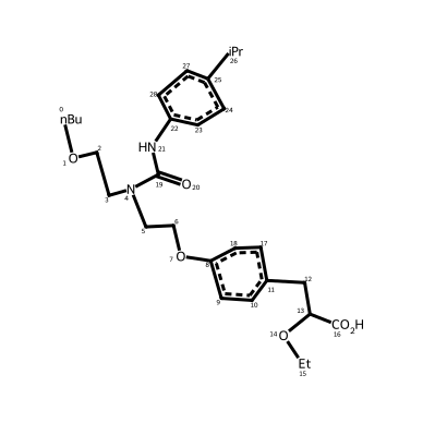 CCCCOCCN(CCOc1ccc(CC(OCC)C(=O)O)cc1)C(=O)Nc1ccc(C(C)C)cc1